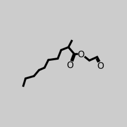 CCCCCCCCC(C)C(=O)OCC=O